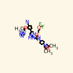 C[C@@H]1CN(C2CCC(n3cc(Nc4ncc(-c5ccc(C#N)c(O[C@@H](C)Cn6cnnn6)c5)cn4)c(OCCCOC(F)F)n3)CC2)C[C@H](C)O1